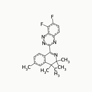 Cc1ccc2c(c1)C(C)(C)C(C)(C)N=C2c1nnc2c(F)c(F)ccc2n1